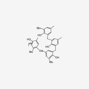 CCCC.Cc1cc(Cc2cc(C)cc(C(C)(C)C)c2O)c(O)c(Cc2cc(C)cc(C(C)(C)C)c2O)c1.Cc1cc(O)c(C(C)(C)C)cc1O